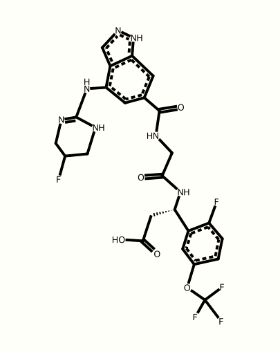 O=C(O)C[C@H](NC(=O)CNC(=O)c1cc(NC2=NCC(F)CN2)c2cn[nH]c2c1)c1cc(OC(F)(F)F)ccc1F